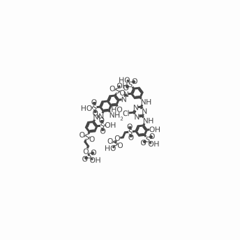 Nc1c(/N=N/c2ccc(S(=O)(=O)CCOS(=O)(=O)O)cc2S(=O)(=O)O)c(S(=O)(=O)O)cc2cc(S(=O)(=O)O)c(/N=N/c3cc(Nc4nc(Cl)nc(Nc5cc(S(=O)(=O)CCOS(=O)(=O)O)cc(S(=O)(=O)O)c5O)n4)ccc3S(=O)(=O)O)c(O)c12